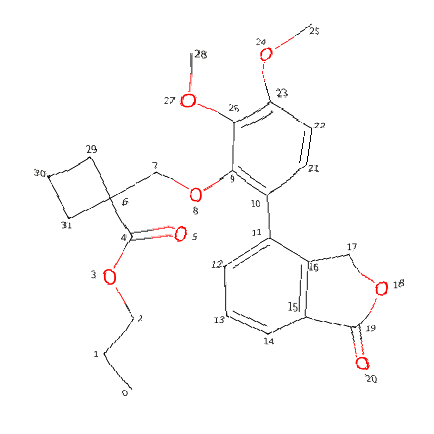 CCCOC(=O)C1(COc2c(-c3cccc4c3COC4=O)ccc(OC)c2OC)CCC1